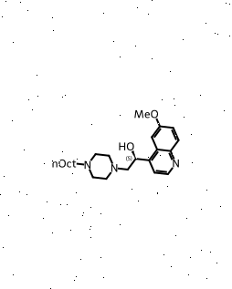 CCCCCCCCN1CCN(C[C@@H](O)c2ccnc3ccc(OC)cc23)CC1